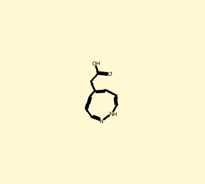 O=C(O)Cc1cccn[nH]ccc1